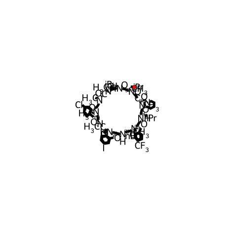 CCCC[C@@H]1NC(=O)[C@H](Cc2cccc(I)c2)NC(=O)CN(C)C(=O)[C@H](Cc2ccc(Cl)cc2)N(C)C(=O)CN(C)C(=O)CN(C)C(=O)[C@H]([C@@H](C)CC)NC(=O)[C@H](CC(C)C)N(C)C(=O)C[C@@H](C(=O)N2CCCCC2)N(C)C(=O)[C@H](CC(C)C)NC(=O)[C@H](Cc2ccc(C(F)(F)F)cc2)N(C)C1=O